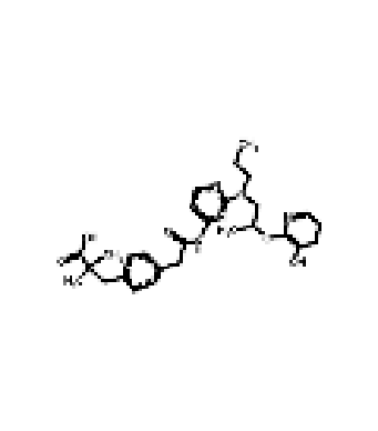 CCCN(CC(C)OC1=C(O)CCC=N1)c1nccc(NC(=O)Cc2ccc(CC(C)(C)C(=O)O)cc2)n1